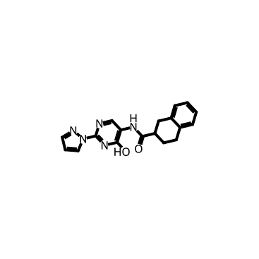 O=C(Nc1cnc(-n2cccn2)nc1O)C1CCc2ccccc2C1